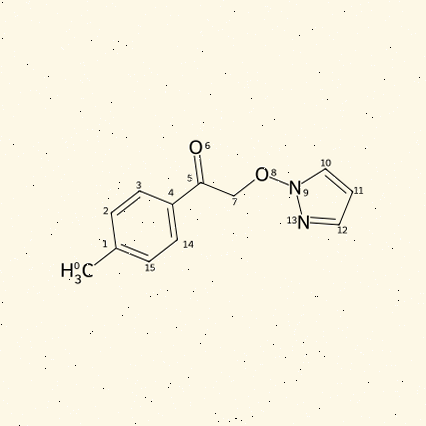 Cc1ccc(C(=O)COn2cccn2)cc1